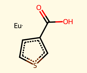 O=C(O)c1ccsc1.[Eu]